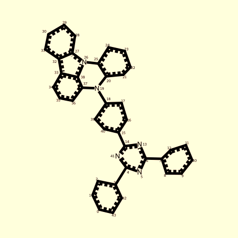 c1ccc(-c2nc(-c3ccccc3)nc(-c3ccc(N4c5ccccc5-n5c6ccccc6c6cccc4c65)cc3)n2)cc1